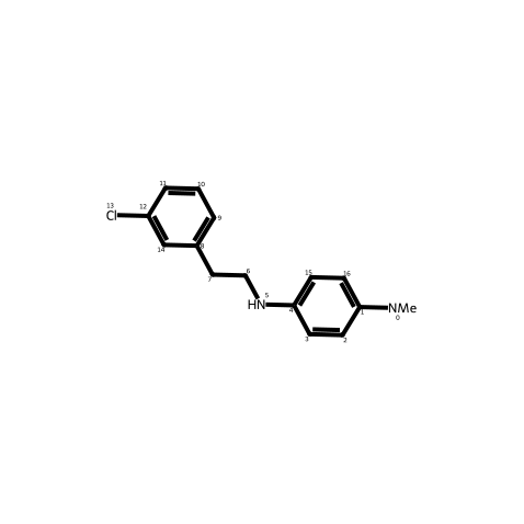 CNc1ccc(NCCc2cccc(Cl)c2)cc1